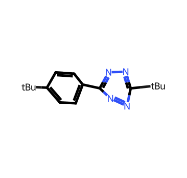 CC(C)(C)c1ccc(-c2nnc(C(C)(C)C)nn2)cc1